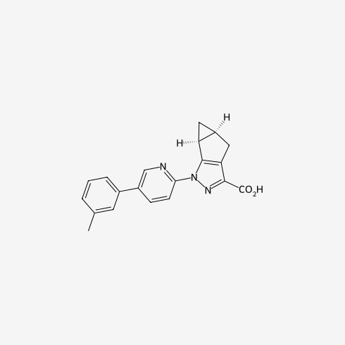 Cc1cccc(-c2ccc(-n3nc(C(=O)O)c4c3[C@H]3C[C@H]3C4)nc2)c1